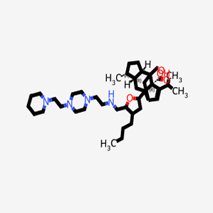 CCCCC1CC(C23C[C@@H]4[C@H](C)CC[C@H]4C4(C=O)CC2C=C(C(C)C)[C@@]34C(=O)O)OC1CNCCN1CCN(CCN2CCCCC2)CC1